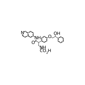 O=C(O)NCC(C(=O)Nc1ccc2cnccc2c1)c1ccc(OCC(O)c2ccccc2)cc1